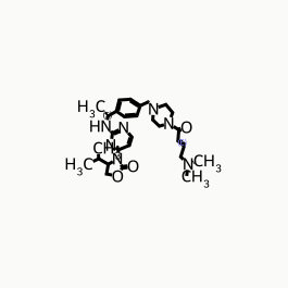 CC(C)C1COC(=O)N1c1ccnc(N[C@@H](C)c2ccc(CN3CCN(C(=O)/C=C/CN(C)C)CC3)cc2)n1